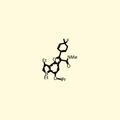 CCc1cn(CC)c2c(OC(C)C)cc3c(C(=O)NC)c(C4=CCC(C)(F)C=C4)oc3c12